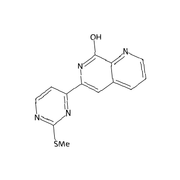 CSc1nccc(-c2cc3cccnc3c(O)n2)n1